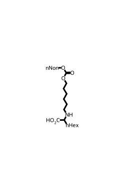 CCCCCCCCCOC(=O)OCCCCCCNC(CCCCCC)C(=O)O